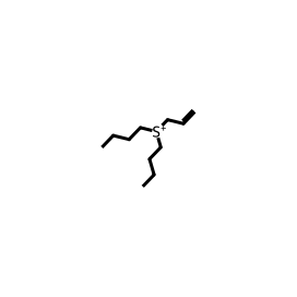 C=CC[S+](CCCC)CCCC